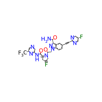 NC(=O)c1nn(CC(=O)N2C[C@H](F)C[C@H]2C(=O)Nc2cncc(C(F)(F)F)n2)c2ccc(C#Cc3ncc(F)cn3)cc12